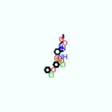 CCOC(=O)Cn1ncc2c1CCCC2NS(=O)(=O)c1ccc(Oc2ccccc2Cl)cc1Cl